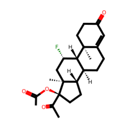 CC(=O)O[C@]1(C(C)=O)CC[C@H]2[C@@H]3CCC4=CC(=O)CC[C@]4(C)[C@H]3[C@@H](F)C[C@@]21C